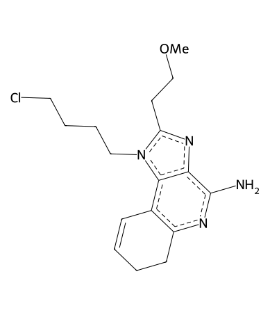 COCCc1nc2c(N)nc3c(c2n1CCCCCl)C=CCC3